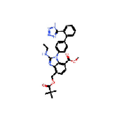 CCNc1nc2c(COC(=O)C(C)(C)C)ccc(C(=O)OC)c2n1-c1ccc(-c2ccccc2-c2nnn[nH]2)cc1